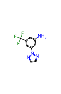 Nc1cc(-n2nccn2)cc(C(F)(F)F)c1